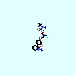 CNC(=O)C1(c2ccc(OC/C(=C\F)COC(=O)NC(C)(C)C)cc2)CCCCC1